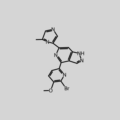 COc1ccc(-c2nc(-c3cncc(C)n3)cc3[nH]ncc23)nc1Br